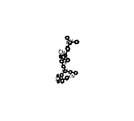 N#Cc1ccc(-c2cccc3c2-c2cc(-c4cc(-c5ccc(-c6ccccc6)cc5)nc(-c5ccc(-c6cccc7c6Sc6ccccc6C76c7ccc(-c8ccc(-c9cc(-c%10ccccc%10)nc(-c%10ccccc%10)n9)cc8)cc7-c7c(C#N)cccc76)cc5)n4)ccc2C32c3ccccc3Sc3ccccc32)cc1